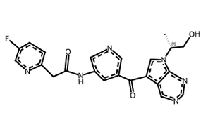 C[C@H](CO)n1cc(C(=O)c2cncc(NC(=O)Cc3ccc(F)cn3)c2)c2cncnc21